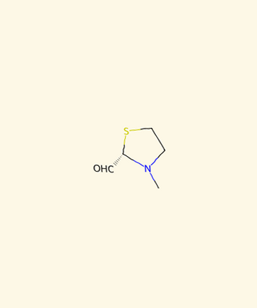 CN1CCS[C@H]1C=O